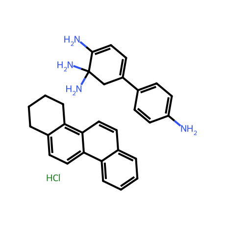 Cl.NC1=CC=C(c2ccc(N)cc2)CC1(N)N.c1ccc2c(c1)ccc1c3c(ccc12)CCCC3